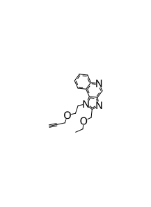 C#CCOCCn1c(COCC)nc2cnc3ccccc3c21